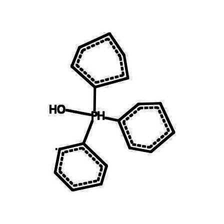 O[PH](c1[c]cccc1)(c1ccccc1)c1ccccc1